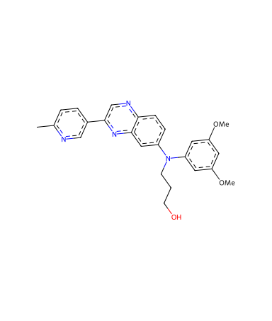 COc1cc(OC)cc(N(CCCO)c2ccc3ncc(-c4ccc(C)nc4)nc3c2)c1